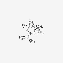 CC(C)N1CC(C)(C)NC(C)(C)C1